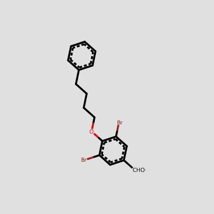 O=[C]c1cc(Br)c(OCCCCc2ccccc2)c(Br)c1